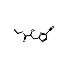 CCOC(=O)C(O)Cn1ccc(C#N)n1